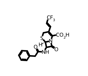 O=C(Cc1ccccc1)NC1C(=O)N2C(C(=O)O)=C(/C=C/C(F)(F)F)CS[C@H]12